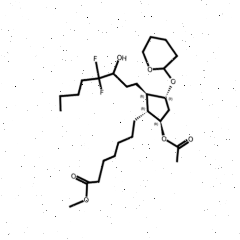 CCCCC(F)(F)C(O)CC[C@@H]1[C@@H](CCCCCCC(=O)OC)[C@H](OC(C)=O)C[C@H]1OC1CCCCO1